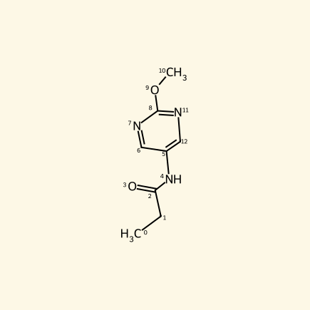 CCC(=O)Nc1cnc(OC)nc1